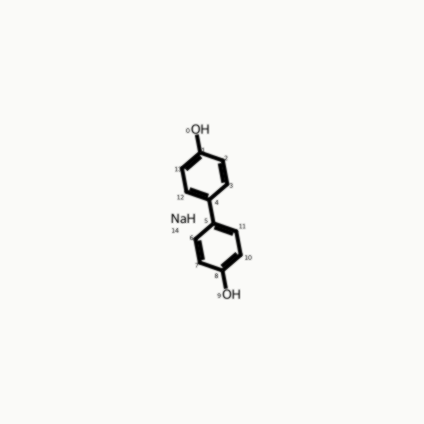 Oc1ccc(-c2ccc(O)cc2)cc1.[NaH]